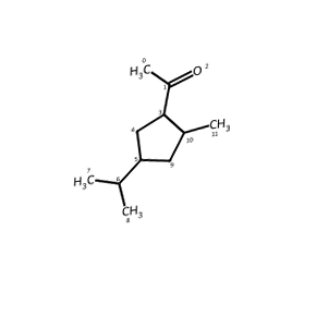 CC(=O)C1CC(C(C)C)CC1C